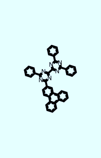 c1ccc(-c2nc(-c3ccccc3)nc(-c3nc(-c4ccccc4)nc(-c4ccc5c6ccccc6c6ccccc6c5c4)n3)n2)cc1